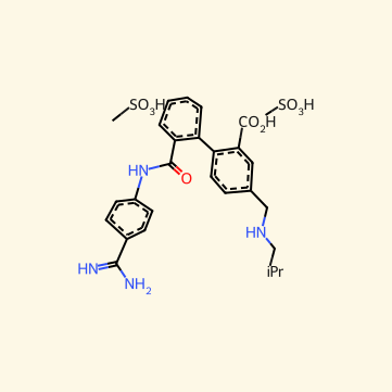 CC(C)CNCc1ccc(-c2ccccc2C(=O)Nc2ccc(C(=N)N)cc2)c(C(=O)O)c1.CS(=O)(=O)O.CS(=O)(=O)O